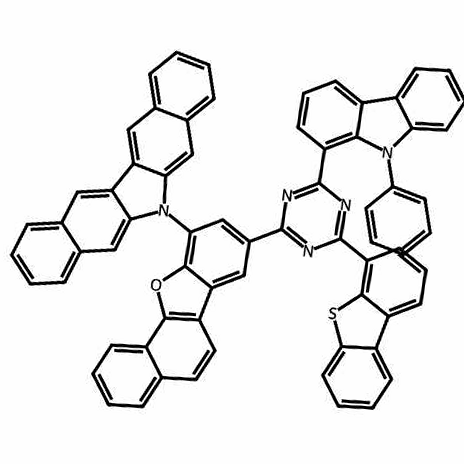 c1ccc(-n2c3ccccc3c3cccc(-c4nc(-c5cc(-n6c7cc8ccccc8cc7c7cc8ccccc8cc76)c6oc7c8ccccc8ccc7c6c5)nc(-c5cccc6c5sc5ccccc56)n4)c32)cc1